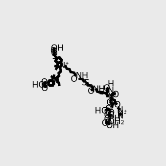 CCN1/C(=C/C=C/C2=[N+](CCCCCC(=O)NCCSSCCC(=O)NCC#Cc3cn(C4CC(OCN=[N+]=[N-])C(COP(=O)(O)OP(=O)(P)OP(=O)(O)O)O4)c(=O)[nH]c3=O)c3ccc(SOOO)cc3C2(C)C)C(C)(C)c2cc(S(=O)(=O)O)ccc21